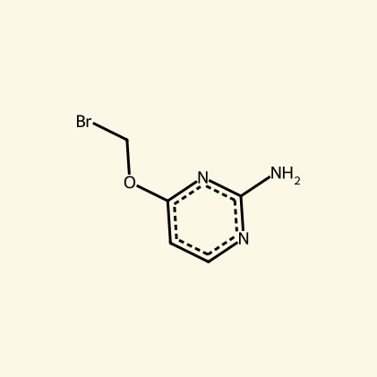 Nc1nccc(OCBr)n1